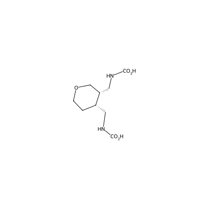 O=C(O)NC[C@@H]1CCOC[C@@H]1CNC(=O)O